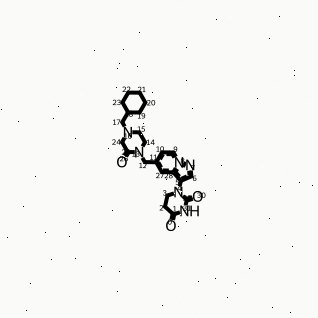 O=C1CCN(c2cnn3ccc(CN4CCN(CC5CCCCC5)CC4=O)cc23)C(=O)N1